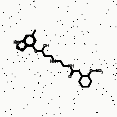 Cc1cc(OC(O)CCNCCNC(=O)CC2CCCCC2O[N+](=O)[O-])c2cc[nH]c2c1